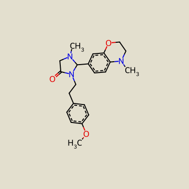 COc1ccc(CCN2C(=O)CN(C)C2c2ccc3c(c2)OCCN3C)cc1